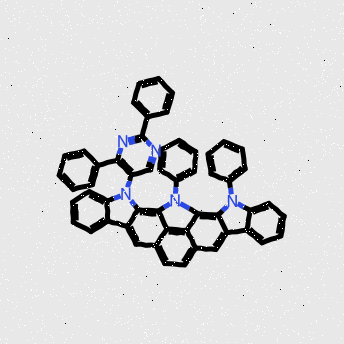 c1ccc(-c2ncc(-n3c4ccccc4c4cc5ccc6cc7c8ccccc8n(-c8ccccc8)c7c7c6c5c(c43)n7-c3ccccc3)c(-c3ccccc3)n2)cc1